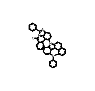 O=c1c2ccc#cc2c2c(-n3c4c5c6c7c(cccc7ccc63)N(c3ccccc3)C5=CCC4)ccc3nc(-c4ccccc4)n1c32